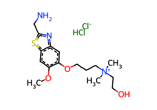 COc1cc2sc(CN)nc2cc1OCCC[N+](C)(C)CCO.Cl.[Cl-]